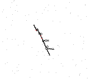 CCCCCCCCC(CCCCCCCC)OC(=O)CCCCCCCN(CCO)CCCCCCCC(=O)OCCCc1ccc(CCCCCC)cc1